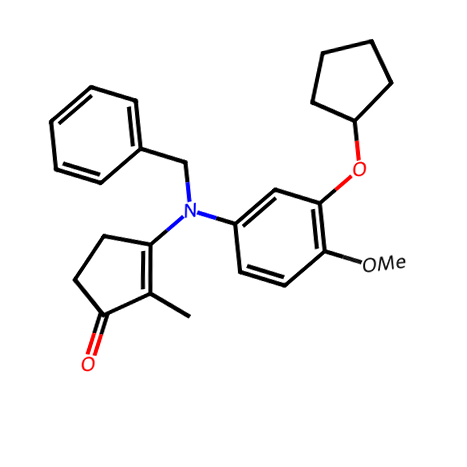 COc1ccc(N(Cc2ccccc2)C2=C(C)C(=O)CC2)cc1OC1CCCC1